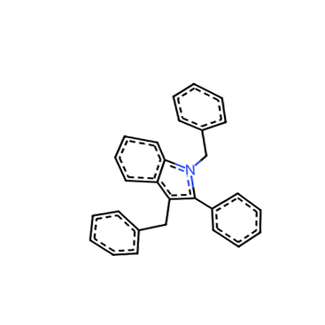 c1ccc(Cc2c(-c3ccccc3)n(Cc3ccccc3)c3ccccc23)cc1